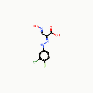 O=C(O)C(/C=N/O)=N/Nc1ccc(F)c(Cl)c1